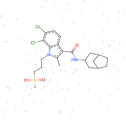 Cc1c(C(=O)NC2CC3CCC(C3)C2)c2ccc(Cl)c(Cl)c2n1CCCS(C)(=O)=O